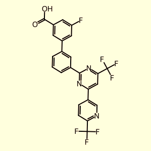 O=C(O)c1cc(F)cc(-c2cccc(-c3nc(-c4ccc(C(F)(F)F)nc4)cc(C(F)(F)F)n3)c2)c1